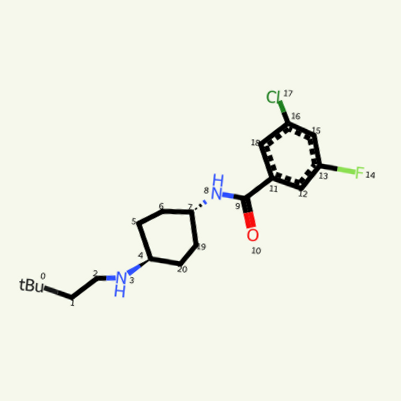 CC(C)(C)CCN[C@H]1CC[C@H](NC(=O)c2cc(F)cc(Cl)c2)CC1